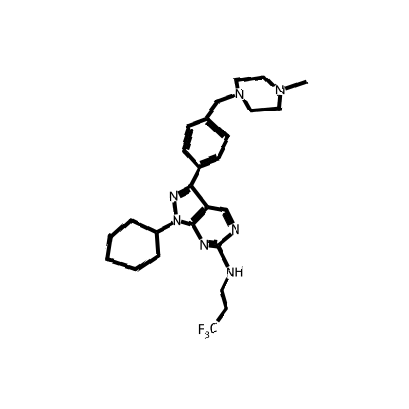 CN1CCN(Cc2ccc(-c3nn(C4CCCCC4)c4nc(NCCC(F)(F)F)ncc34)cc2)CC1